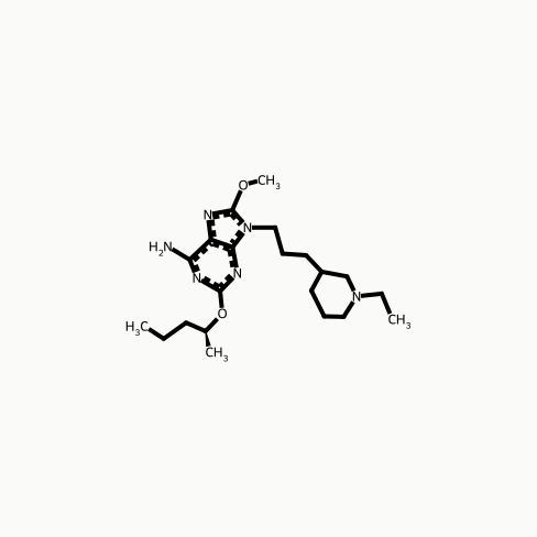 CCC[C@H](C)Oc1nc(N)c2nc(OC)n(CCCC3CCCN(CC)C3)c2n1